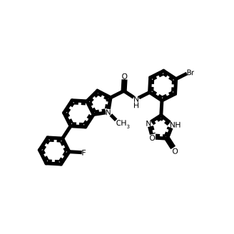 Cn1c(C(=O)Nc2ccc(Br)cc2-c2noc(=O)[nH]2)cc2ccc(-c3ccccc3F)cc21